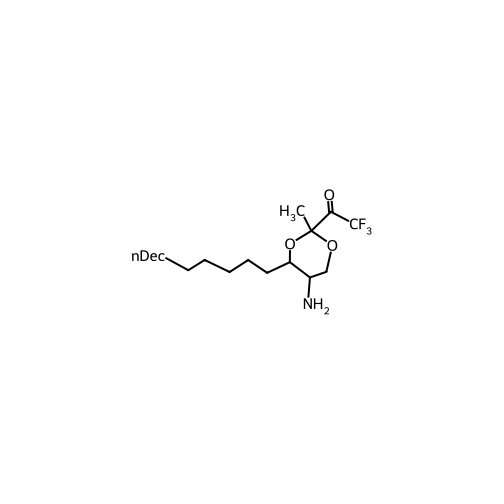 CCCCCCCCCCCCCCCC1OC(C)(C(=O)C(F)(F)F)OCC1N